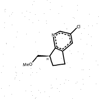 COC[C@@H]1CCc2cc(Cl)cnc21